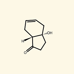 O=C1CC[C@]2(O)CC=CC[C@@H]12